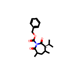 CC1CC(C)[C@H](C(C)C)C(=O)N(C(=O)OCc2ccccc2)C1=O